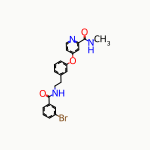 CNC(=O)c1cc(Oc2cccc(CCNC(=O)c3cccc(Br)c3)c2)ccn1